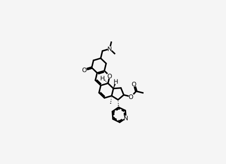 CC(=O)OC1C[C@H]2[C@@H]3OC4=C(C=C3C=C[C@]2(C)[C@H]1c1cccnc1)C(=O)CC(CN(C)C)C4